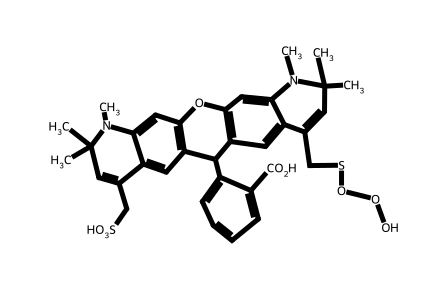 CN1c2cc3c(cc2C(CSOOO)=CC1(C)C)C(c1ccccc1C(=O)O)c1cc2c(cc1O3)N(C)C(C)(C)C=C2CS(=O)(=O)O